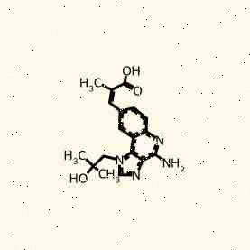 CC(=Cc1ccc2nc(N)c3ncn(CC(C)(C)O)c3c2c1)C(=O)O